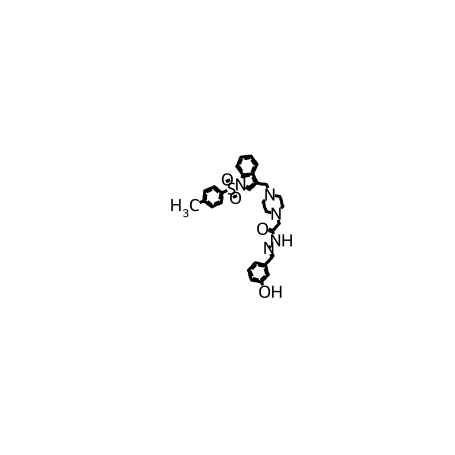 Cc1ccc(S(=O)(=O)n2cc(CN3CCN(CC(=O)NN=Cc4cccc(O)c4)CC3)c3ccccc32)cc1